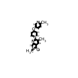 Cc1ccc(OC2CCN(c3nc4c(cc3C)C(=O)N(C)C4)CC2)cn1